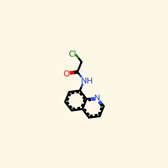 O=C(CCl)Nc1cccc2cccnc12